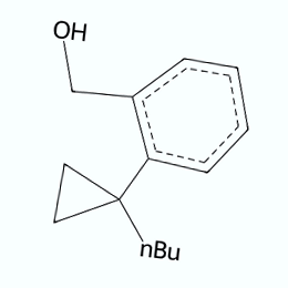 CCCCC1(c2ccccc2CO)CC1